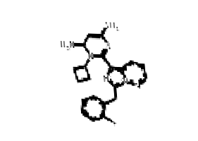 NC1=[C]C(N)N(C2CCC2)C(c2nc(Cc3ccccc3F)n3ncccc23)=N1